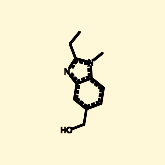 CCc1nc2cc(CO)ccc2n1C